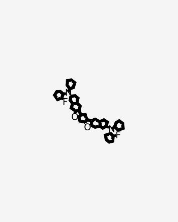 Fc1ccccc1N(c1ccccc1)c1ccc2cc3c(cc2c1)oc1cc2oc4cc5cc(N(c6ccccc6)c6ccccc6F)ccc5cc4c2cc13